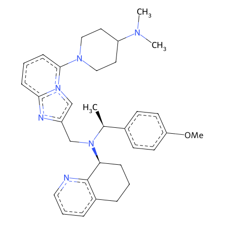 COc1ccc([C@H](C)N(Cc2cn3c(N4CCC(N(C)C)CC4)cccc3n2)[C@H]2CCCc3cccnc32)cc1